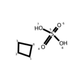 C1CCC1.O=S(=O)(O)O